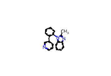 Cc1nc2ccccc2n1-c1ccccc1-c1cccnc1